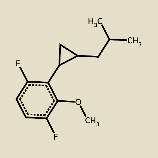 COc1c(F)ccc(F)c1C1CC1CC(C)C